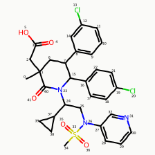 CC1(CC(=O)O)CC(c2cccc(Cl)c2)C(c2ccc(Cl)cc2)N(C(CN(c2cccnc2)S(C)(=O)=O)C2CC2)C1=O